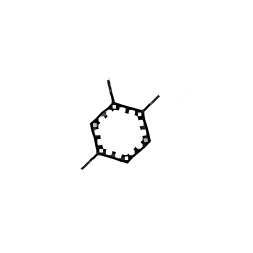 O=C(O)c1ccc(C(F)(F)F)cc1C(F)(F)F